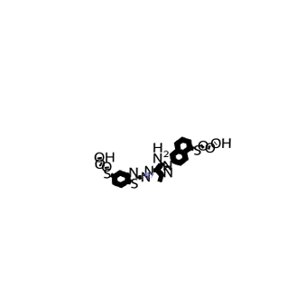 Cc1nn(-c2ccc3c(SOOO)cccc3c2)c(N)c1/N=N/c1nc2cc(SOOO)ccc2s1